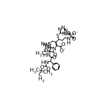 CO[C@@]1(NC(=O)C(NC(=O)OC(C)(C)C)c2ccccc2)C(=O)N2C(C(=O)[O-])=C(C(CCNS(=O)(=O)[O-])Sc3nnn[nH]3)CS[C@H]21.[Na+].[Na+]